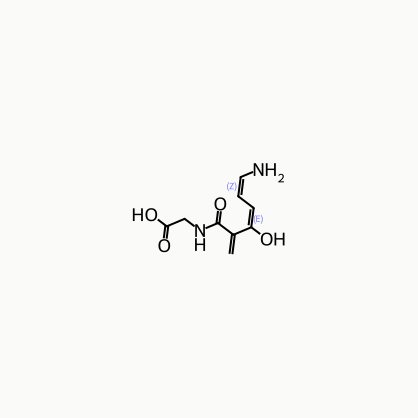 C=C(C(=O)NCC(=O)O)/C(O)=C\C=C/N